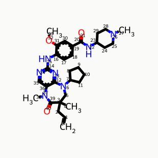 C=CCC1(C)CN(C2CCCC2)c2nc(Nc3ccc(C(=O)NC4CCN(C)CC4)cc3OC)ncc2N(C)C1=O